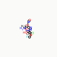 C=C(C(N)=O)c1cc2c(Nc3cc(Cl)c(Oc4cccc(F)c4)cc3C(C)(C)O)ncnc2cc1OCCN1CCOCC1